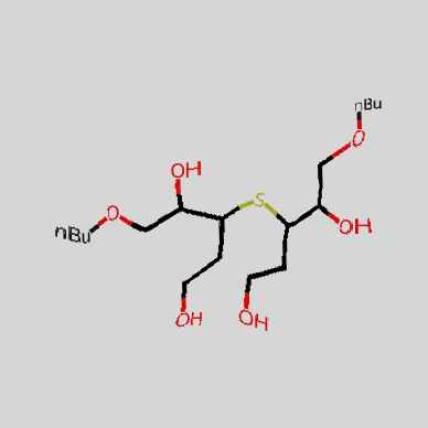 CCCCOCC(O)C(CCO)SC(CCO)C(O)COCCCC